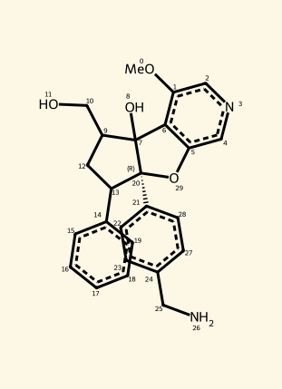 COc1cncc2c1C1(O)C(CO)CC(c3ccccc3)[C@]1(c1ccc(CN)cc1)O2